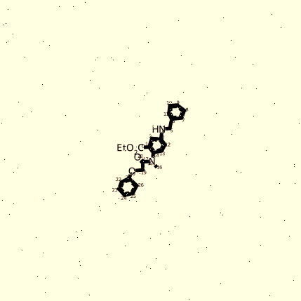 CCOC(=O)c1cc(NCc2ccccc2)ccc1N(C)C(=O)COc1ccccc1